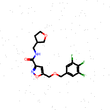 O=C(NCC1CCOC1)c1cc(COCc2cc(F)c(F)c(F)c2)on1